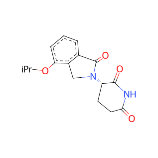 CC(C)Oc1cccc2c1CN([C@H]1CCC(=O)NC1=O)C2=O